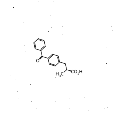 C[C@@H](Cc1ccc(C(=O)c2ccccc2)cc1)C(=O)O